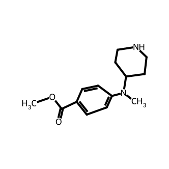 COC(=O)c1ccc(N(C)C2CCNCC2)cc1